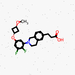 CO[C@H]1C[C@H](Oc2cc(F)c(F)c(N3CCc4cc(CCC(=O)O)ccc4C3)c2)C1